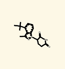 Cc1nn(C2CCC(=O)NC2=O)c2cccc(C(C)(C)C)c12